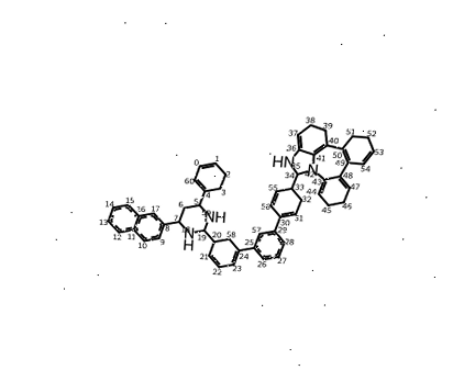 C1=CCCC(C2CC(c3ccc4ccccc4c3)NC(C3C=CC=C(c4cccc(C5=CCC(C6NC7=CCCC8=C7N6C6=CCCC=C6C6=C8CCC=C6)C=C5)c4)C3)N2)=C1